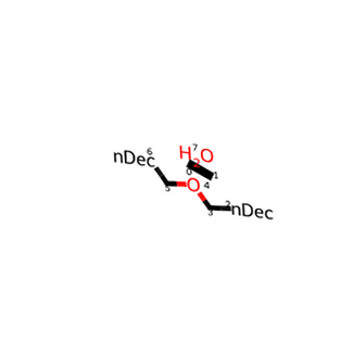 C=C.CCCCCCCCCCCOCCCCCCCCCCC.O